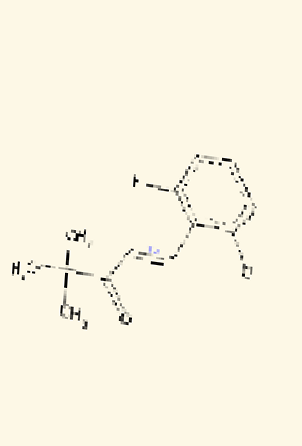 CC(C)(C)C(=O)/C=C/c1c(F)cccc1Cl